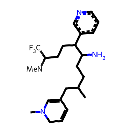 CNC(CCC(c1cccnc1)C(N)CCC(C)CC1=CN(C)CC=C1)C(F)(F)F